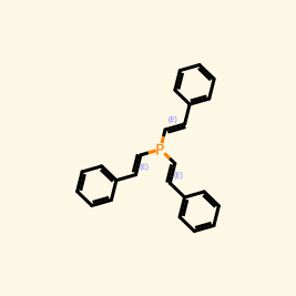 C(=C\P(/C=C/c1ccccc1)/C=C/c1ccccc1)/c1ccccc1